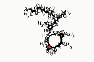 C=C(CBr)C(=O)OC(C)(C)CCCCC(=O)N[C@H](C(=O)N[C@@H](CCCNC(N)=O)C(=O)Nc1ccc(NC(=O)O[C@H]2CC(=O)N(C)c3cc(cc(OC)c3Cl)C/C(C)=C/C=C/[C@@H](OC)[C@@]3(O)C[C@H](OC(=O)N3)[C@@H](C)[C@@H]3O[C@@]23C)cc1OC)C(C)C